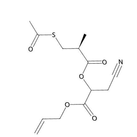 C=CCOC(=O)C(CC#N)OC(=O)[C@H](C)CSC(C)=O